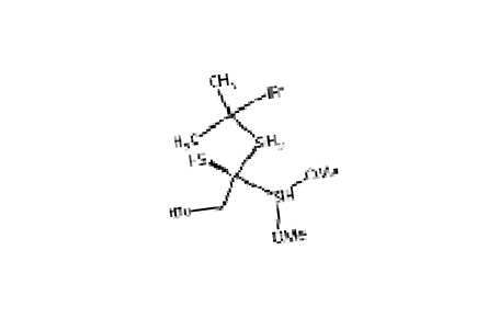 CO[SiH](OC)[C@](S)(CC(C)(C)C)[SiH2]C(C)(C)C(C)C